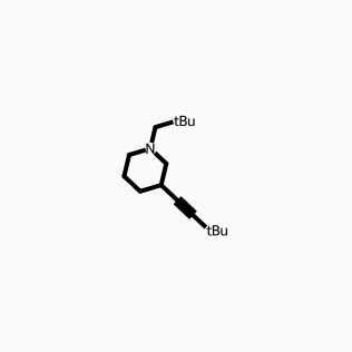 CC(C)(C)C#CC1CCCN(CC(C)(C)C)C1